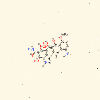 CCCCOc1ccc(N(C)C)c2c1C(=O)C1=C(O)[C@]3(O)C(=O)C(C(N)=O)C(O)[C@@H](N(C)C)[C@@H]3C[C@@H]1C2